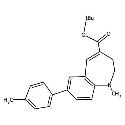 Cc1ccc(-c2ccc3c(c2)C=C(C(=O)OC(C)(C)C)CCN3C)cc1